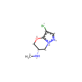 CN[C@@H]1COc2c(Br)cnn2C1